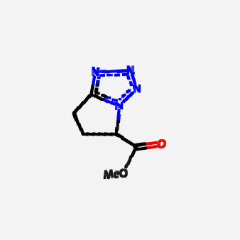 COC(=O)C1CCc2nnnn21